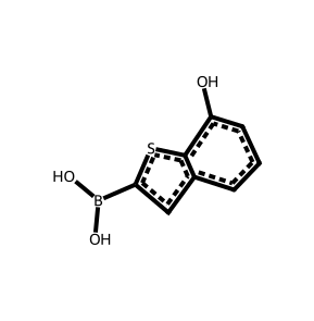 OB(O)c1cc2cccc(O)c2s1